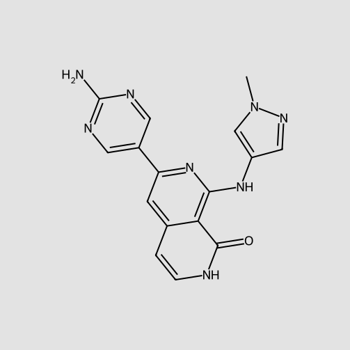 Cn1cc(Nc2nc(-c3cnc(N)nc3)cc3cc[nH]c(=O)c23)cn1